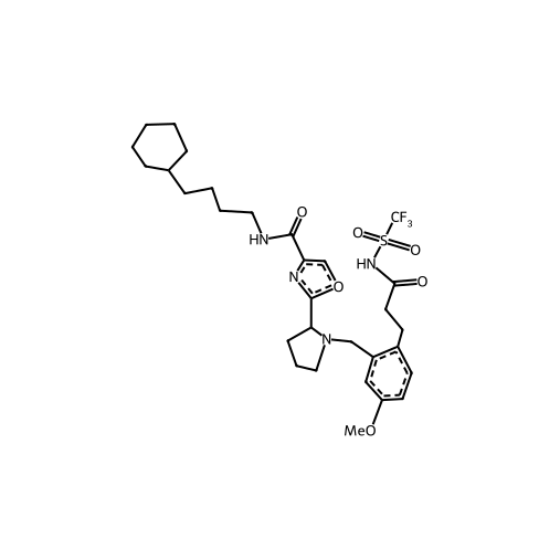 COc1ccc(CCC(=O)NS(=O)(=O)C(F)(F)F)c(CN2CCCC2c2nc(C(=O)NCCCCC3CCCCC3)co2)c1